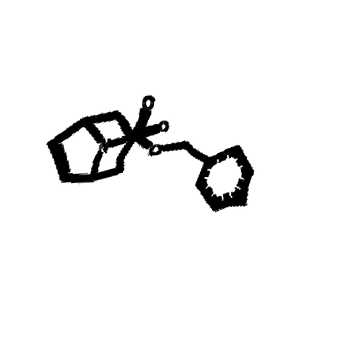 O=C1CC2C=CC(C1)N2C(=O)OCc1ccccc1